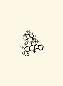 [2H]c1c([2H])c(C2c3[nH]c4ccccc4c3C([2H])([2H])[C@]3([2H])C(=O)N(C([2H])([2H])[2H])C([2H])([2H])C(=O)N23)c([2H])c2c1OCO2